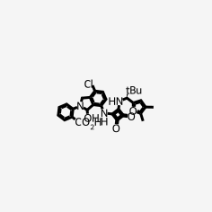 Cc1cc([C@H](Nc2c(Nc3ccc(Cl)c4c3C(O)N(c3ccccc3C(=O)O)C4)c(=O)c2=O)C(C)(C)C)oc1C